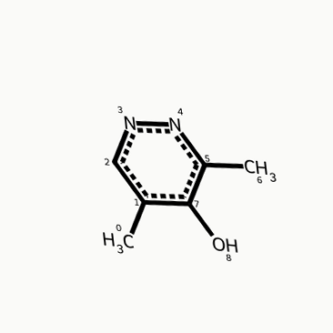 Cc1cnnc(C)c1O